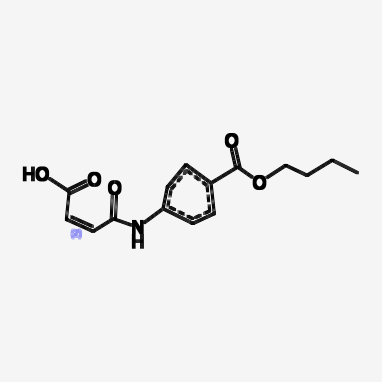 CCCCOC(=O)c1ccc(NC(=O)/C=C\C(=O)O)cc1